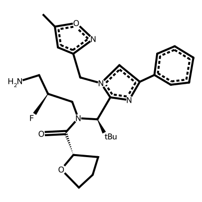 Cc1cc(Cn2cc(-c3ccccc3)nc2[C@H](N(C[C@@H](F)CN)C(=O)[C@@H]2CCCO2)C(C)(C)C)no1